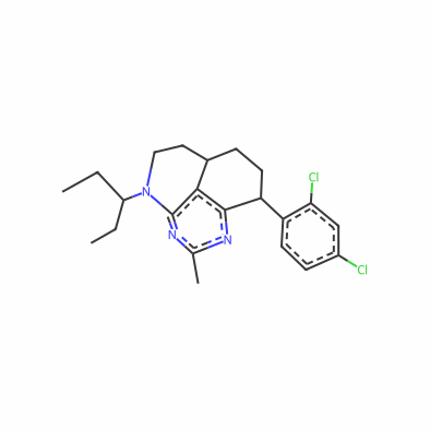 CCC(CC)N1CCC2CCC(c3ccc(Cl)cc3Cl)c3nc(C)nc1c32